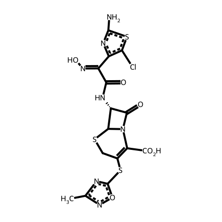 Cc1noc(SC2=C(C(=O)O)N3C(=O)[C@@H](NC(=O)C(=NO)c4nc(N)sc4Cl)C3SC2)n1